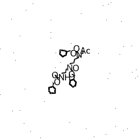 CC(=O)CN(CCCCN(CCCNC(=O)OCc1ccccc1)C(=O)OCc1ccccc1)C(=O)OCc1ccccc1